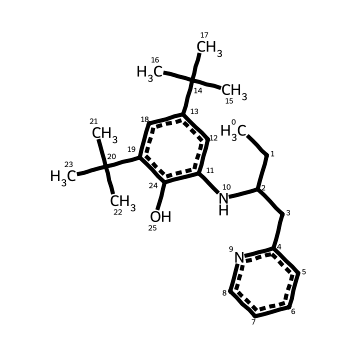 CCC(Cc1ccccn1)Nc1cc(C(C)(C)C)cc(C(C)(C)C)c1O